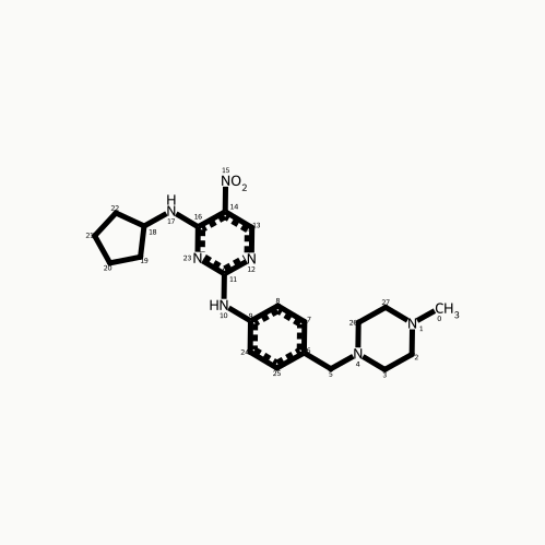 CN1CCN(Cc2ccc(Nc3ncc([N+](=O)[O-])c(NC4CCCC4)n3)cc2)CC1